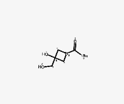 CC(C)(C)C(=O)N1CC(O)(CO)C1